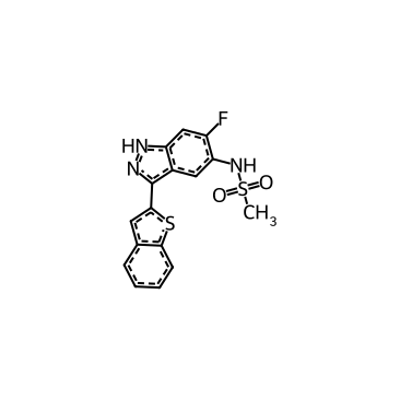 CS(=O)(=O)Nc1cc2c(-c3cc4ccccc4s3)n[nH]c2cc1F